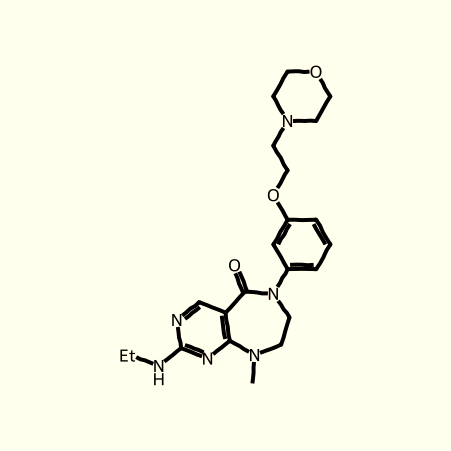 CCNc1ncc2c(n1)N(C)CCN(c1cccc(OCCN3CCOCC3)c1)C2=O